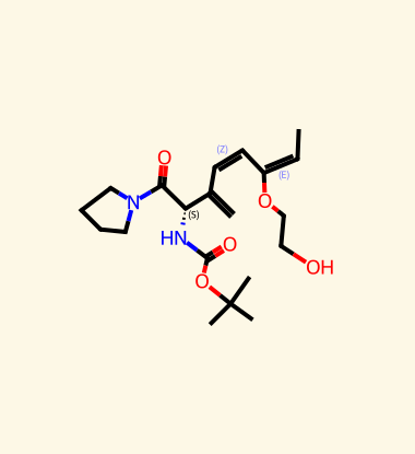 C=C(/C=C\C(=C/C)OCCO)[C@H](NC(=O)OC(C)(C)C)C(=O)N1CCCC1